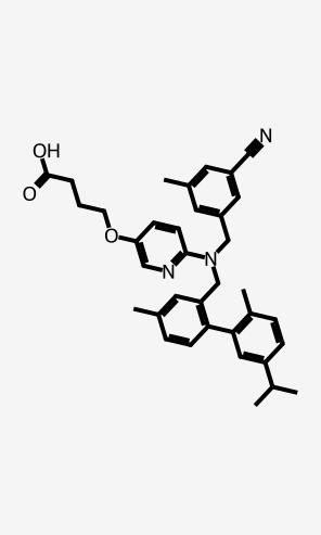 Cc1cc(C#N)cc(CN(Cc2cc(C)ccc2-c2cc(C(C)C)ccc2C)c2ccc(OCCCC(=O)O)cn2)c1